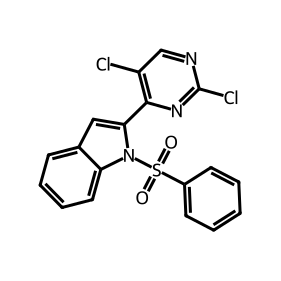 O=S(=O)(c1ccccc1)n1c(-c2nc(Cl)ncc2Cl)cc2ccccc21